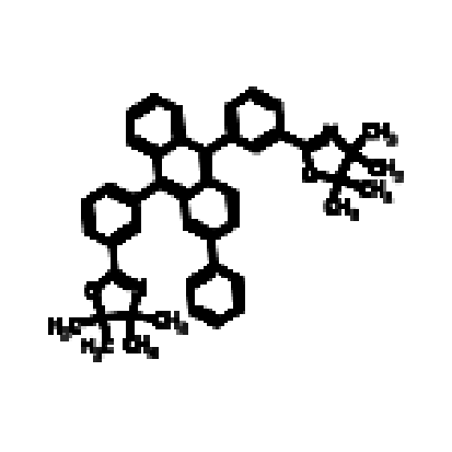 CC1(C)N=C(c2cccc(-c3c4ccccc4c(-c4cccc(C5=NC(C)(C)C(C)(C)O5)c4)c4cc(-c5ccccc5)ccc34)c2)OC1(C)C